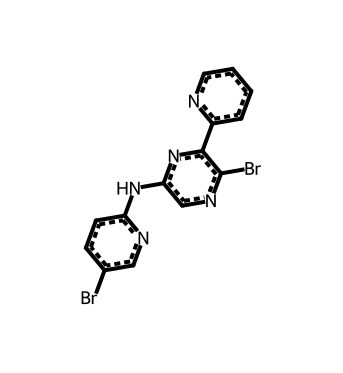 Brc1ccc(Nc2cnc(Br)c(-c3ccccn3)n2)nc1